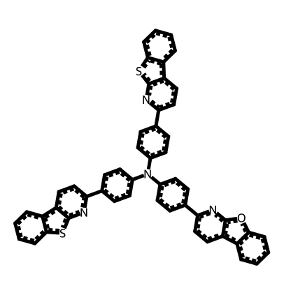 c1ccc2c(c1)oc1nc(-c3ccc(N(c4ccc(-c5ccc6c(n5)sc5ccccc56)cc4)c4ccc(-c5ccc6c(n5)sc5ccccc56)cc4)cc3)ccc12